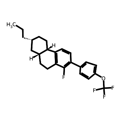 CCC[C@@H]1CC[C@@H]2c3ccc(-c4ccc(OC(F)(F)F)cc4)c(F)c3CC[C@@H]2C1